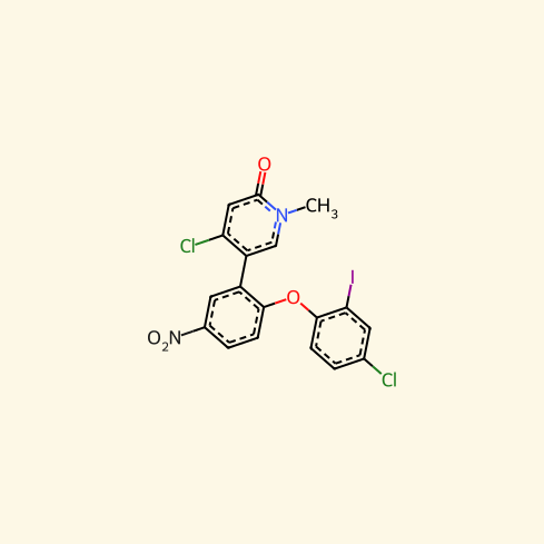 Cn1cc(-c2cc([N+](=O)[O-])ccc2Oc2ccc(Cl)cc2I)c(Cl)cc1=O